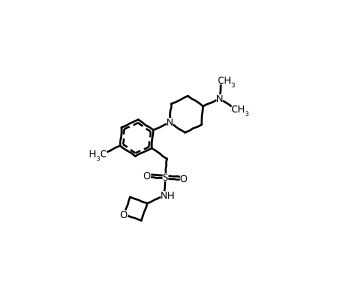 Cc1ccc(N2CCC(N(C)C)CC2)c(CS(=O)(=O)NC2COC2)c1